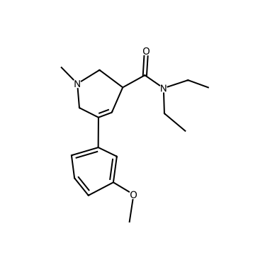 CCN(CC)C(=O)C1C=C(c2cccc(OC)c2)CN(C)C1